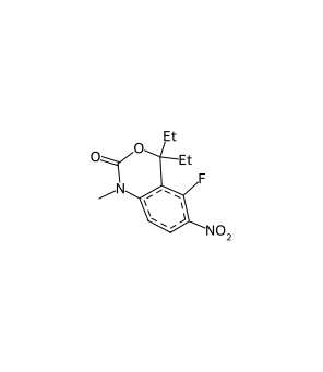 CCC1(CC)OC(=O)N(C)c2ccc([N+](=O)[O-])c(F)c21